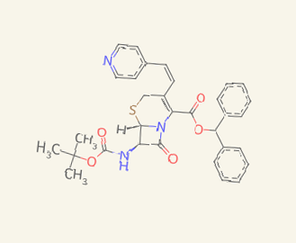 CC(C)(C)OC(=O)N[C@@H]1C(=O)N2C(C(=O)OC(c3ccccc3)c3ccccc3)=C(/C=C\c3ccncc3)CS[C@@H]12